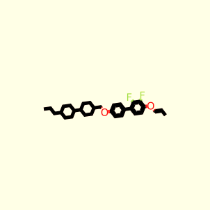 C/C=C/Oc1ccc(-c2ccc(OCC3CCC(C4CCC(CCC)CC4)CC3)cc2)c(F)c1F